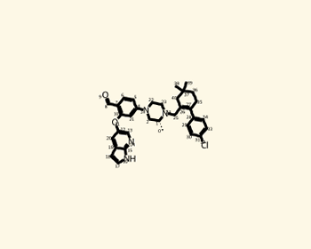 C[C@@H]1CN(c2ccc(C=O)c(Oc3cnc4[nH]ccc4c3)c2)CCN1CC1=C(c2ccc(Cl)cc2)CCC(C)(C)C1